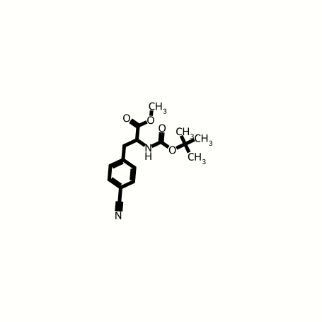 COC(=O)C(Cc1ccc(C#N)cc1)NC(=O)OC(C)(C)C